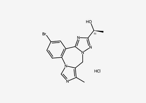 Cc1ncn2c1Cn1nc([C@H](C)O)nc1-c1cc(Br)ccc1-2.Cl